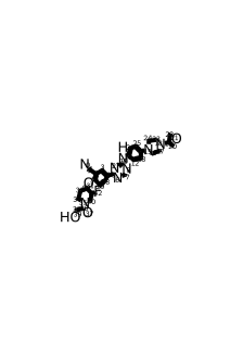 N#Cc1cc(-c2ncnc(Nc3ccc(N4CCN(C5COC5)CC4)cc3)n2)ccc1O[C@H]1CCN(C(=O)CO)CC1F